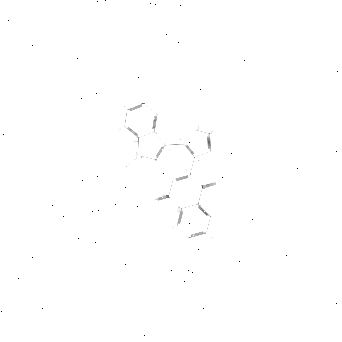 Cn1cc(-c2sccc2C2=CC(=O)c3ccccc3C2=O)c2ccccc21